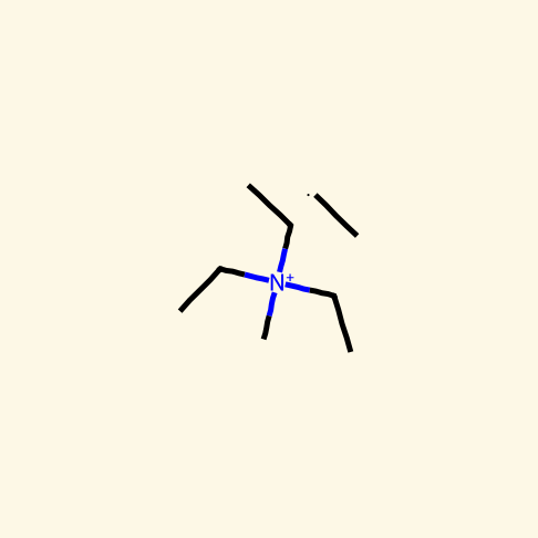 CC[N+](C)(CC)CC.[CH2]C